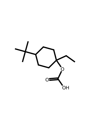 CCC1(OC(=O)O)CCC(C(C)(C)C)CC1